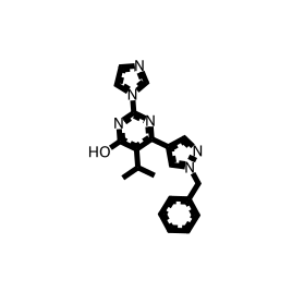 CC(C)c1c(O)nc(-n2ccnc2)nc1-c1cnn(Cc2ccccc2)c1